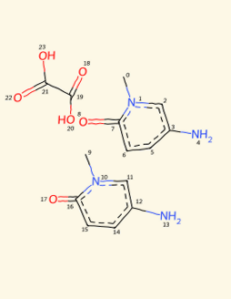 Cn1cc(N)ccc1=O.Cn1cc(N)ccc1=O.O=C(O)C(=O)O